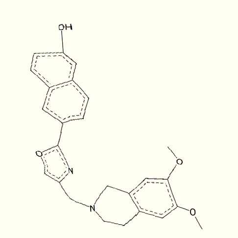 COc1cc2c(cc1OC)CN(Cc1coc(-c3ccc4cc(O)ccc4c3)n1)CC2